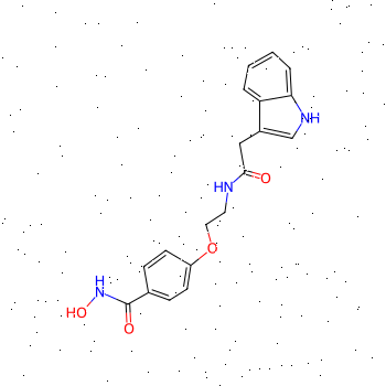 O=C(Cc1c[nH]c2ccccc12)NCCOc1ccc(C(=O)NO)cc1